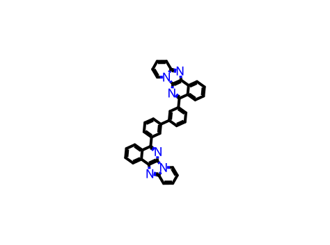 c1cc(-c2cccc(-c3nc4c(nc5ccccn54)c4ccccc34)c2)cc(-c2nc3c(nc4ccccn43)c3ccccc23)c1